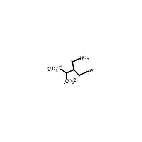 CCOC(=O)C(C(=O)OCC)C(CC(C)C)C[N+](=O)[O-]